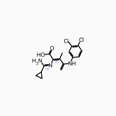 C=C(Nc1ccc(Cl)c(Cl)c1)/C(C)=C(\N=C(/N)C1CC1)C(=O)O